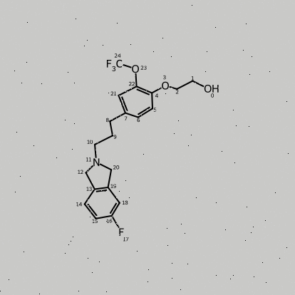 OCCOc1ccc(CCCN2Cc3ccc(F)cc3C2)cc1OC(F)(F)F